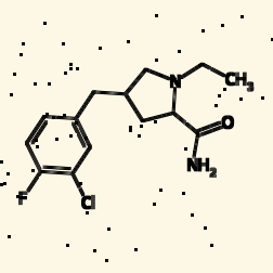 CCN1CC(Cc2ccc(F)c(Cl)c2)CC1C(N)=O